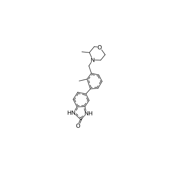 Cc1c(CN2CCOCC2C)cccc1-c1ccc2[nH]c(=O)[nH]c2c1